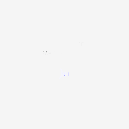 COc1cc(C(F)(F)F)ccc1CNC1CC1